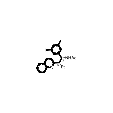 CC[C@H](c1ccc2ccccc2n1)[C@H](NC(C)=O)c1cc(C)cc(I)c1